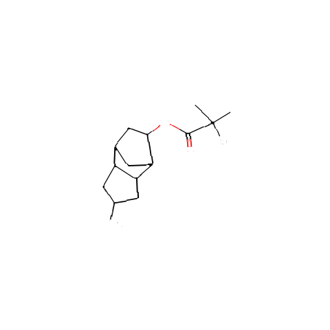 CCC(C)(C)C(=O)OC1CC2CC1C1CC(OC(C)=O)CC21